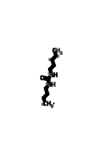 [CH2]CCCNC(=O)NCCCCC